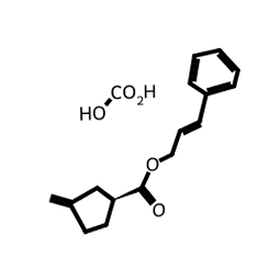 C=C1CC[C@H](C(=O)OCC=Cc2ccccc2)C1.O=C(O)O